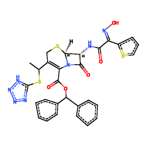 CC(Sc1nnn[nH]1)C1=C(C(=O)OC(c2ccccc2)c2ccccc2)N2C(=O)[C@@H](NC(=O)C(=NO)c3cccs3)[C@@H]2SC1